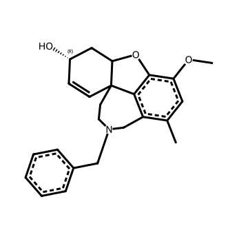 COc1cc(C)c2c3c1OC1C[C@@H](O)C=CC31CCN(Cc1ccccc1)C2